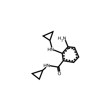 Nc1cccc(C(=O)NC2CC2)c1NC1CC1